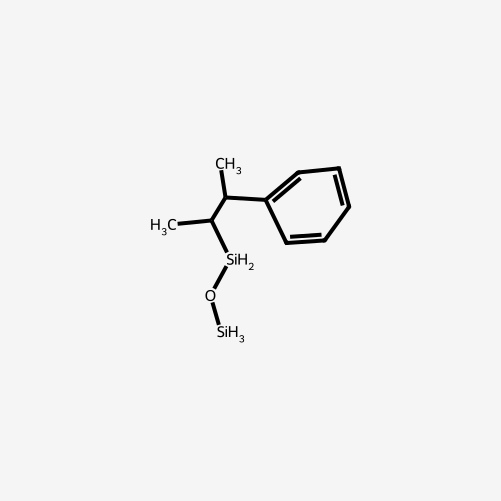 CC([SiH2]O[SiH3])C(C)c1ccccc1